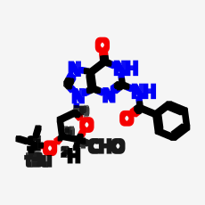 [2H][C@]1(C=O)O[C@@H](n2cnc3c(=O)[nH]c(NC(=O)c4ccccc4)nc32)C[C@@H]1O[Si](C)(C)C(C)(C)C